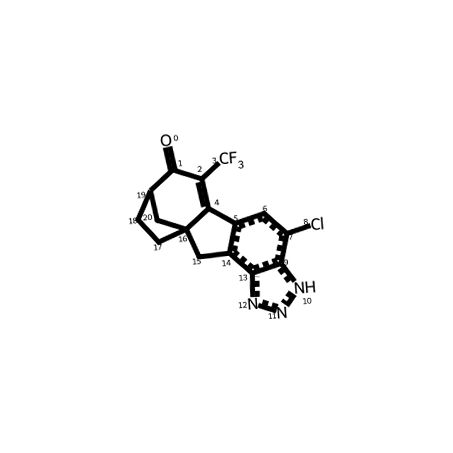 O=C1C(C(F)(F)F)=C2c3cc(Cl)c4[nH]nnc4c3CC23CCC1C3